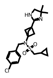 CC1(C)CNC(C23CC(N(Cc4ccc(Cl)cc4)S(=O)(=O)CC4CC4)(C2)C3)=N1